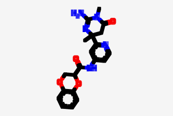 CN1C(=O)CC(C)(c2cc(NC(=O)C3COc4ccccc4O3)ccn2)N=C1N